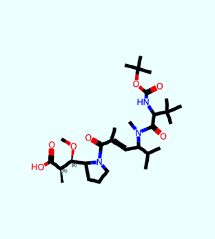 CO[C@@H](C1CCCN1C(=O)C(C)=CC(C(C)C)N(C)C(=O)C(NC(=O)OC(C)(C)C)C(C)(C)C)[C@@H](C)C(=O)O